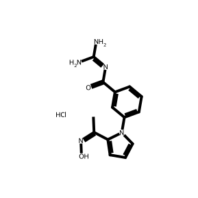 C/C(=N/O)c1cccn1-c1cccc(C(=O)N=C(N)N)c1.Cl